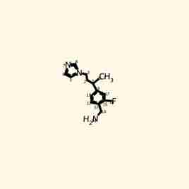 CC(CCn1ccnc1)c1ccc(CN)c(F)c1